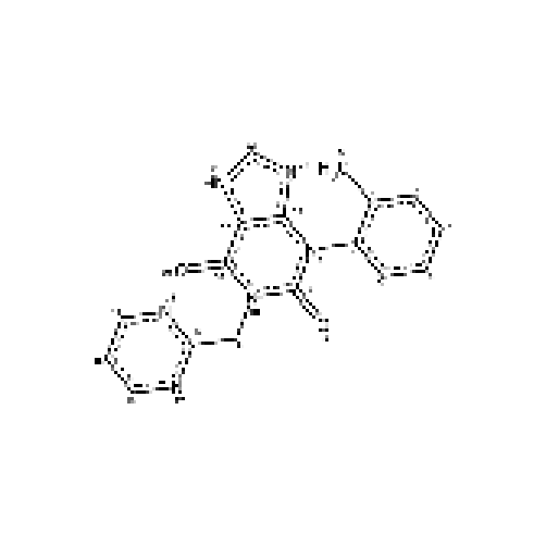 Cc1ccccc1-n1c(=O)n(Cc2ncccn2)c(=O)c2[nH]cnc21